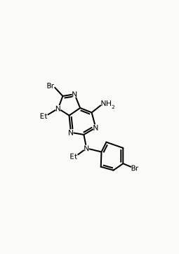 CCN(c1ccc(Br)cc1)c1nc(N)c2nc(Br)n(CC)c2n1